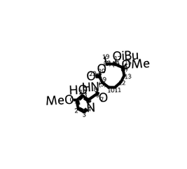 COc1ccnc(C(=O)N[C@H]2CCCC[C@H](OC)[C@@H](OCC(C)C)[C@H](C)OC2=O)c1O